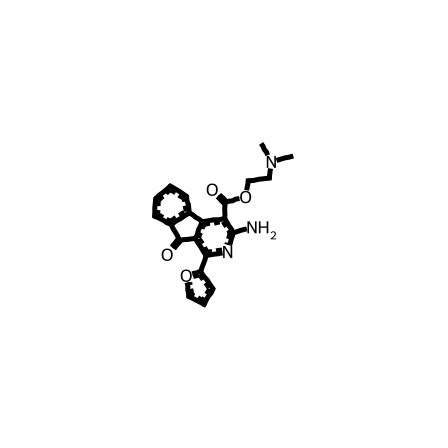 CN(C)CCOC(=O)c1c(N)nc(-c2ccco2)c2c1-c1ccccc1C2=O